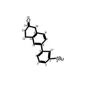 CC(C)(C)c1cccc(-c2ccc3c(c2)CCC(=O)C3)c1